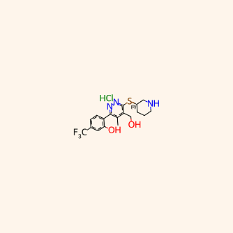 Cc1c(-c2ccc(C(F)(F)F)cc2O)nnc(S[C@@H]2CCCNC2)c1CO.Cl